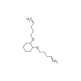 C=CCCCOC1CCCCC1OCCCC=C